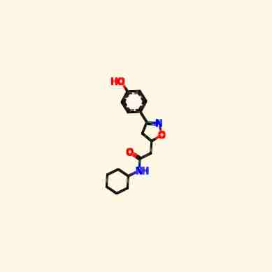 O=C(CC1CC(c2ccc(O)cc2)=NO1)NC1CCCCC1